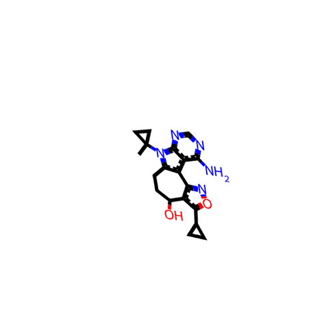 CC1(n2c3c(c4c(N)ncnc42)-c2noc(C4CC4)c2C(O)CC3)CC1